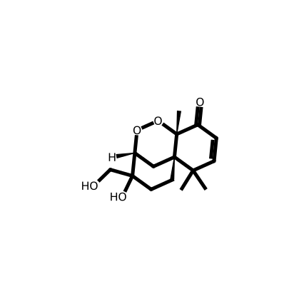 CC1(C)C=CC(=O)[C@@]2(C)OO[C@@H]3C[C@@]12CCC3(O)CO